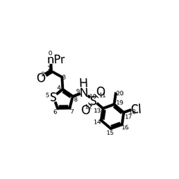 CCCC(=O)Cc1sccc1NS(=O)(=O)c1cccc(Cl)c1C